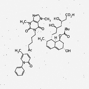 CC(=O)CCCCn1c(=O)c2c(ncn2C)n(C)c1=O.CC[C@H](C)C(=O)O[C@H]1C[C@H](O)C=C2C=C[C@H](C)[C@H](CC[C@@H](O)C[C@@H](O)CC(=O)O)[C@H]21.Cc1ccc(=O)n(-c2ccccc2)c1